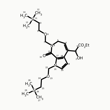 CCOC(=O)C(O)C1=CCN(COCC[Si](C)(C)C)C(=O)c2c1ccn2COCC[Si](C)(C)C